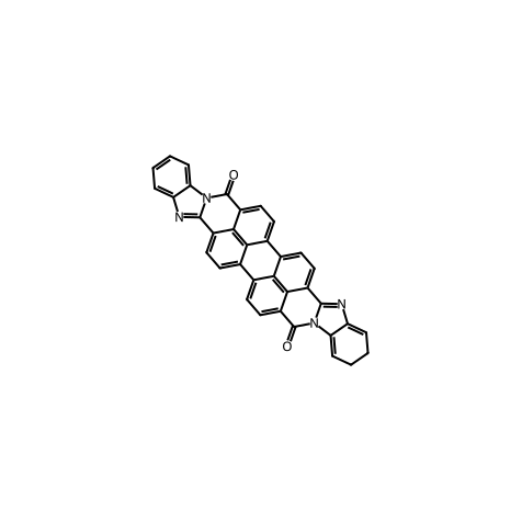 O=c1c2ccc3c4ccc5c6c(ccc(c7ccc(c2c73)c2nc3c(n12)=CCCC=3)c46)c(=O)n1c2ccccc2nc51